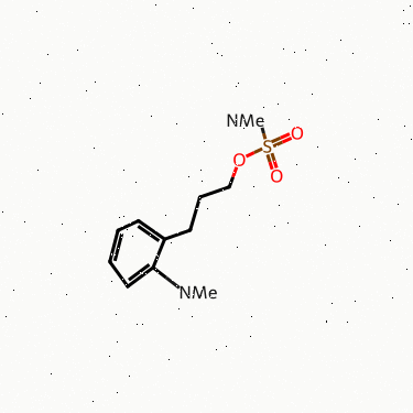 CNc1ccccc1CCCOS(=O)(=O)NC